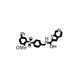 COc1ccc(C(C)C)cc1S(=O)(=O)c1ccc(CNC(O)c2cc3ccncc3s2)cc1